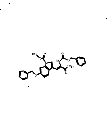 COC(=O)C(=Cc1cn(C(=O)OC(C)(C)C)c2cc(OCc3ccccc3)ccc12)NC(=O)OCc1ccccc1